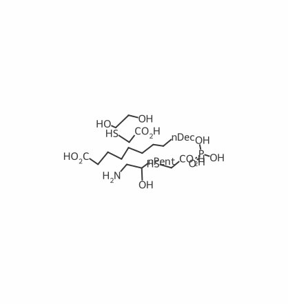 CCCCCC(O)CN.CCCCCCCCCCCCCCCCCC(=O)O.O=C(O)CS.O=C(O)CS.O=[PH](O)O.OCCO